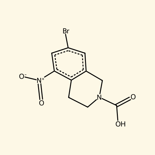 O=C(O)N1CCc2c(cc(Br)cc2[N+](=O)[O-])C1